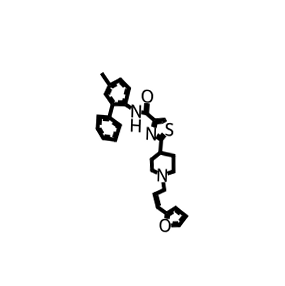 Cc1ccc(NC(=O)c2csc(C3CCN(C/C=C\c4ccco4)CC3)n2)c(-c2ccccc2)c1